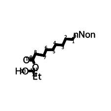 CCCCCCCCCCCCCCCCCC(=O)OC(O)CC